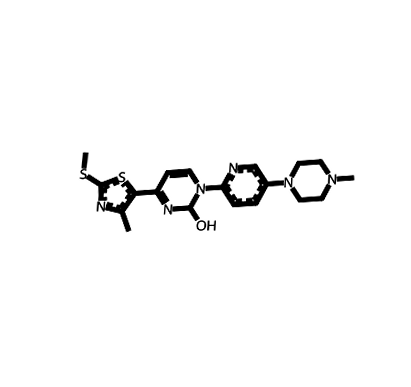 CSc1nc(C)c(C2=NC(O)N(c3ccc(N4CCN(C)CC4)cn3)C=C2)s1